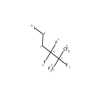 FC(F)(F)C(F)(C(F)(F)F)C(F)(F)CCI